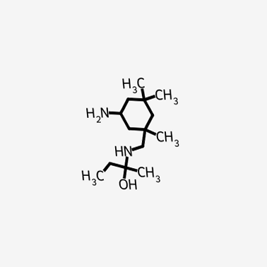 CCC(C)(O)NCC1(C)CC(N)CC(C)(C)C1